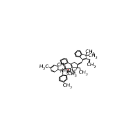 C=CC1=C(/C=C2\CC(c3ccccc3C(=C)N(c3ccc(C)cc3C)C3C=CC(C)=CC3C)=C(C)C2(C)CC)c2ccccc2C1(C)C